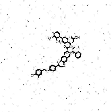 CC[C@@H](c1ccccc1)N1Cc2cc3c(cc2C[C@H]1C(=O)N[C@@H](CC(=O)O)c1ccc(-c2ccnc(C)c2C)cc1)OC(c1ccc(OCc2ccc(Cl)c(Cl)c2)cc1)CO3